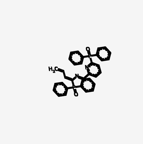 C=C/C=C(\N=C\c1cccc(P(=O)(c2ccccc2)c2ccccc2)n1)P(=O)(c1ccccc1)c1ccccc1